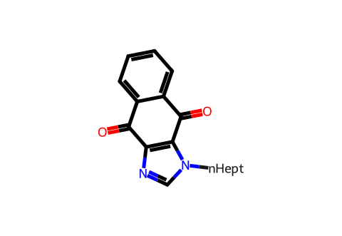 CCCCCCCn1cnc2c1C(=O)c1ccccc1C2=O